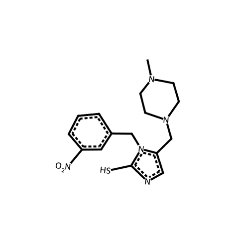 CN1CCN(Cc2cnc(S)n2Cc2cccc([N+](=O)[O-])c2)CC1